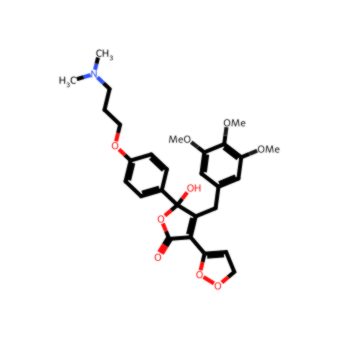 COc1cc(CC2=C(C3=CCOO3)C(=O)OC2(O)c2ccc(OCCCN(C)C)cc2)cc(OC)c1OC